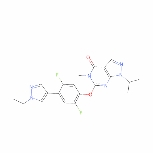 CCn1cc(-c2cc(F)c(Oc3nc4c(cnn4C(C)C)c(=O)n3C)cc2F)cn1